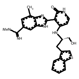 CNC(=N)c1cc(C)c2nc(-c3c(N[C@H](CO)Cc4csc5ccccc45)cc[nH]c3=O)[nH]c2c1